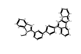 CCn1c(-c2cccc(-c3ccc(-c4nc5c(nc6ccccn65)c5ccccc45)cc3)c2)nc2ccccc21